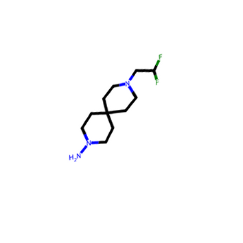 NN1CCC2(CC1)CCN(CC(F)F)CC2